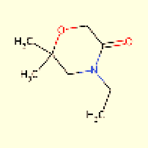 CCN1CC(C)(C)OCC1=O